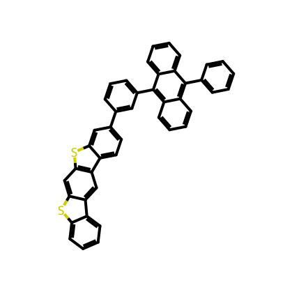 c1ccc(-c2c3ccccc3c(-c3cccc(-c4ccc5c(c4)sc4cc6sc7ccccc7c6cc45)c3)c3ccccc23)cc1